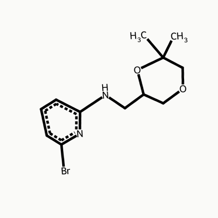 CC1(C)COCC(CNc2cccc(Br)n2)O1